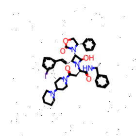 C[C@@H](NC(=O)[C@@H](CC(=O)N1CCC(N2CCCCC2)CC1)N1C(O)[C@@H](N2C(=O)OC[C@@H]2c2ccccc2)[C@H]1/C=C/c1cccc(I)c1)c1ccccc1